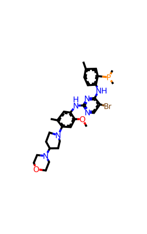 COc1cc(N2CCC(N3CCOCC3)CC2)c(C)cc1Nc1ncc(Br)c(Nc2ccc(C)cc2P(C)C)n1